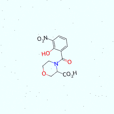 O=C(O)C1COCCN1C(=O)c1cccc([N+](=O)[O-])c1O